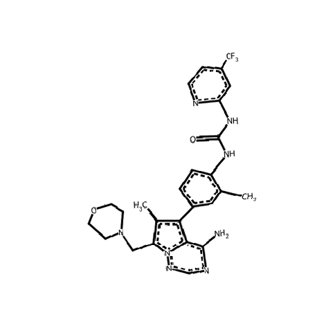 Cc1cc(-c2c(C)c(CN3CCOCC3)n3ncnc(N)c23)ccc1NC(=O)Nc1cc(C(F)(F)F)ccn1